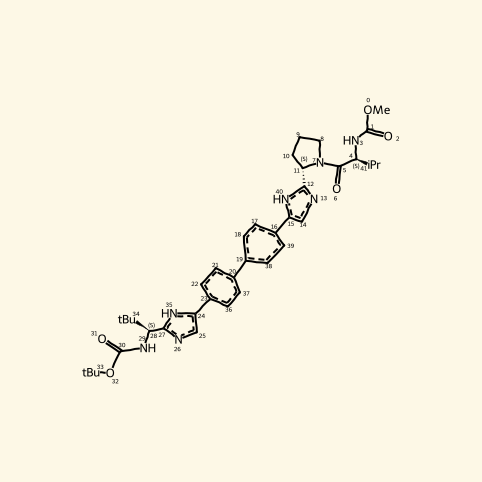 COC(=O)N[C@H](C(=O)N1CCC[C@H]1c1ncc(-c2ccc(-c3ccc(-c4cnc([C@@H](NC(=O)OC(C)(C)C)C(C)(C)C)[nH]4)cc3)cc2)[nH]1)C(C)C